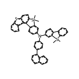 C[Si]1(C)c2ccccc2-c2ccc(N(c3ccc(-c4cccc5ccccc45)cc3)c3ccc4c(c3)[Si](C)(C)c3ccc5sc6ccccc6c5c3-4)cc21